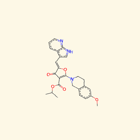 COc1ccc2c(c1)CCN(C1=C(C(=O)OC(C)C)C(=O)C(=Cc3c[nH]c4ncccc34)O1)C2